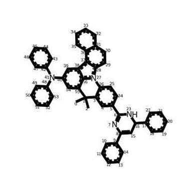 CC1(C)c2cc(C3=NC(c4ccccc4)=CC(c4ccccc4)N3)ccc2-n2c3ccc4ccccc4c3c3cc(N(c4ccccc4)c4ccccc4)cc1c32